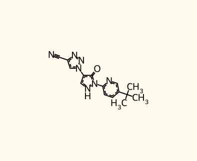 CC(C)(C)c1ccc(-n2[nH]cc(-n3cc(C#N)nn3)c2=O)nc1